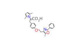 Cc1oc(-c2ccccc2)nc1CCOc1ccc(C[C@@H](C(=O)O)n2c(C)ccc2C)cc1